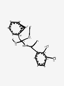 COC(NC(C)c1cccc(Cl)c1Cl)(OC)c1ccccc1